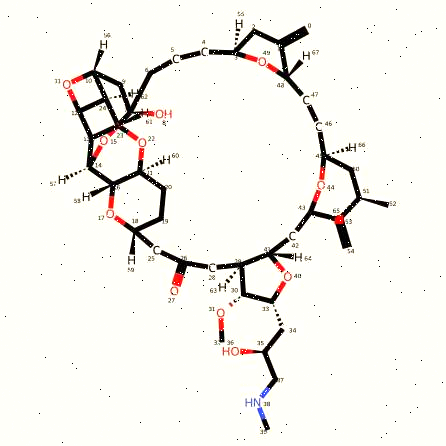 C=C1C[C@@H]2CCC[C@@]3(O)C[C@H]4OC5C6[C@@H](O3)[C@H]3O[C@H](CC[C@@H]3O[C@H]6[C@@H]54)CC(=O)C[C@@H]3[C@@H](OC)[C@@H](C[C@H](O)CNC)O[C@H]3C[C@H]3O[C@@H](CC[C@@H]1O2)C[C@@H](C)C3=C